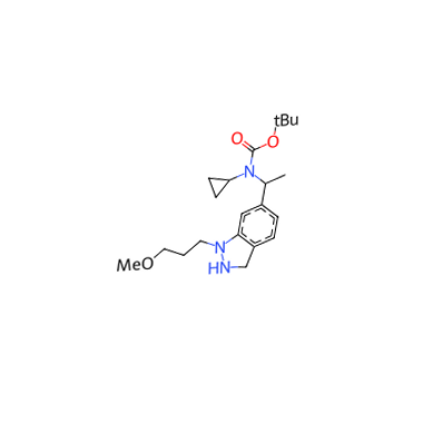 COCCCN1NCc2ccc(C(C)N(C(=O)OC(C)(C)C)C3CC3)cc21